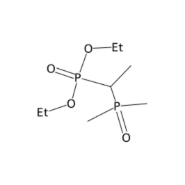 CCOP(=O)(OCC)C(C)P(C)(C)=O